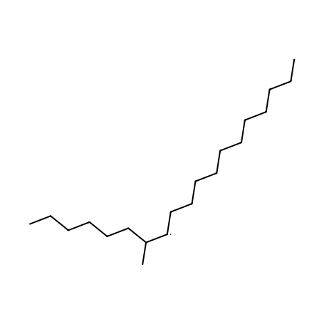 CCCCCCCCCCC[CH]C(C)CCCCCC